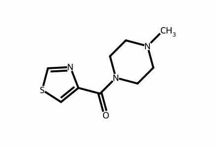 CN1CCN(C(=O)c2cscn2)CC1